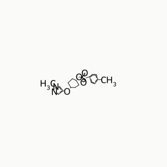 Cc1ccc(S(=O)(=O)O[C@H]2CC[C@H](Oc3cnn(C)c3)CC2)cc1